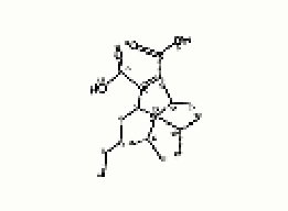 CCCCC(/C(=C/C(=O)O)C(=O)O)[Si](C(C)C)(C(C)C)C(C)C